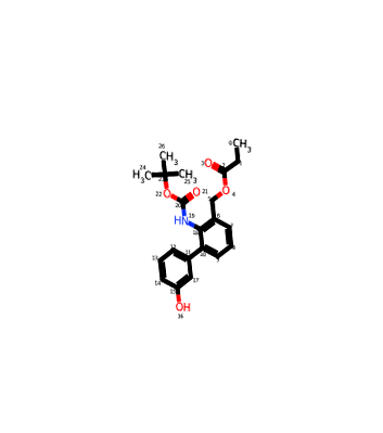 CCC(=O)OCc1cccc(-c2cccc(O)c2)c1NC(=O)OC(C)(C)C